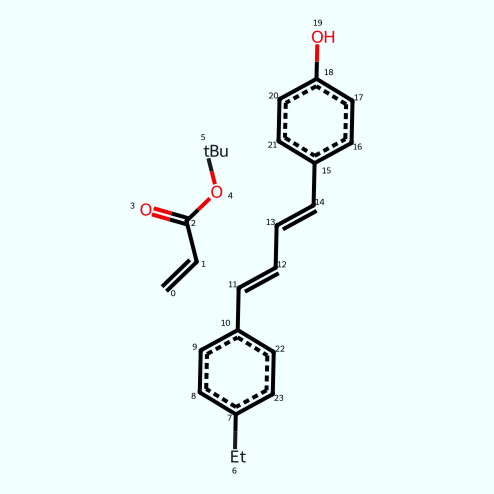 C=CC(=O)OC(C)(C)C.CCc1ccc(C=CC=Cc2ccc(O)cc2)cc1